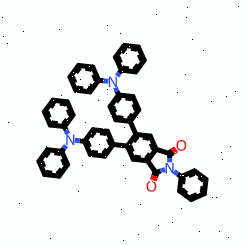 O=C1c2cc(-c3ccc(N(c4ccccc4)c4ccccc4)cc3)c(-c3ccc(N(c4ccccc4)c4ccccc4)cc3)cc2C(=O)N1c1ccccc1